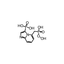 O=P(O)(Cc1cccc2ncc(P(=O)(O)O)n12)OO